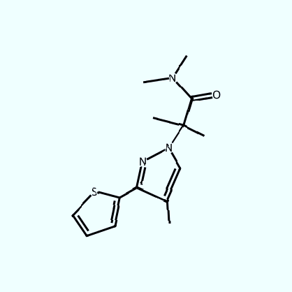 Cc1cn(C(C)(C)C(=O)N(C)C)nc1-c1cccs1